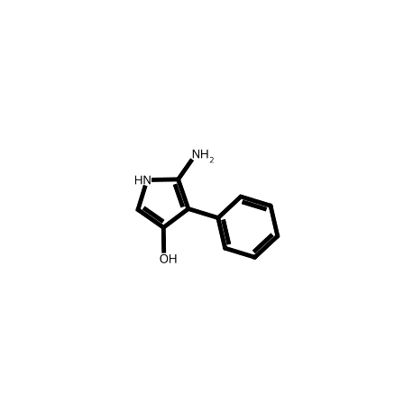 Nc1[nH]cc(O)c1-c1ccccc1